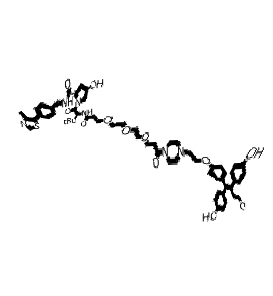 Cc1ncsc1-c1ccc(CNC(=O)[C@@H]2C[C@@H](O)CN2C(=O)[C@@H](NC(=O)CCOCCOCCOCCC(=O)N2CCN(CCOc3ccc(C(=C(CCCl)c4ccc(O)cc4)c4ccc(O)cc4)cc3)CC2)C(C)(C)C)cc1